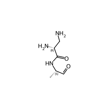 C[C@@H](C=O)NC(=O)[C@H](N)CN